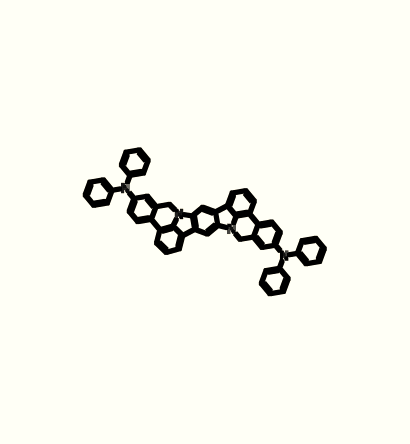 c1ccc(N(c2ccccc2)c2ccc3c(c2)Cn2c4cc5c6cccc7c6n(c5cc4c4cccc-3c42)Cc2cc(N(c3ccccc3)c3ccccc3)ccc2-7)cc1